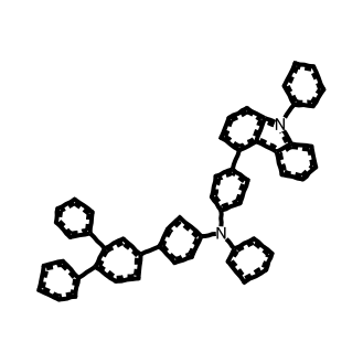 c1ccc(-c2ccc(-c3ccc(N(c4ccccc4)c4ccc(-c5cccc6c5c5ccccc5n6-c5ccccc5)cc4)cc3)cc2-c2ccccc2)cc1